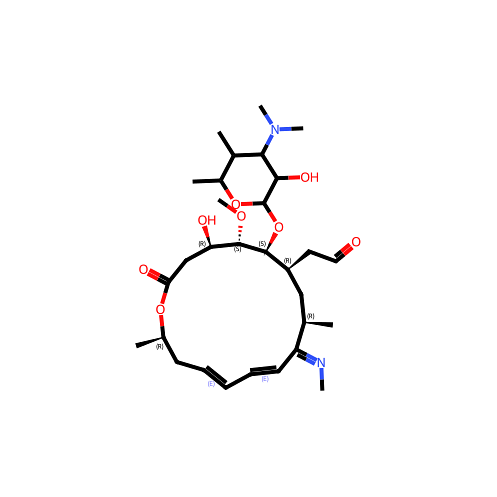 CN=C1/C=C/C=C/C[C@@H](C)OC(=O)C[C@@H](O)[C@H](OC)[C@@H](OC2OC(C)C(C)C(N(C)C)C2O)[C@@H](CC=O)C[C@H]1C